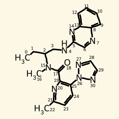 CCC(CNc1cnc2ccccc2n1)N(C)C(=O)c1nc(C)ccc1-n1nccn1